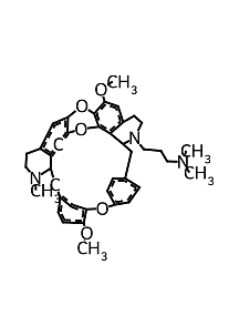 COc1ccc2cc1Oc1ccc(cc1)CC1c3c(cc(OC)c4c3Oc3cc5c(cc3O4)CCN(C)C5C2)CCN1CCCN(C)C